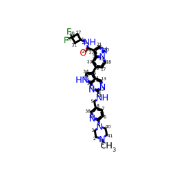 CN1CCN(c2ccc(CNc3ncc4c(-c5ccn6ncc(C(=O)NC7CC(F)(F)C7)c6c5)c[nH]c4n3)cn2)CC1